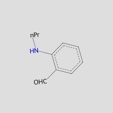 CCCNc1ccccc1C=O